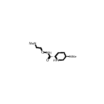 CNCCONC(=O)[C@@H]1CC[C@@H](NC)CN1